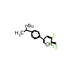 C\C=C(/C=C(F)\C(F)=C\F)c1ccc(C(C)CCCC)cc1